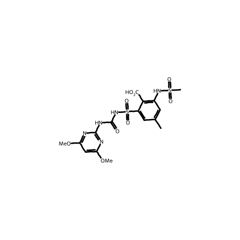 COc1cc(OC)nc(NC(=O)NS(=O)(=O)c2cc(C)cc(NS(C)(=O)=O)c2C(=O)O)n1